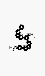 Nc1ccc(-c2ccc3ccc4ccc(-c5cc(N)cc(-c6ccc7ccc8ccc(-c9ccccc9)nc8c7n6)c5)nc4c3n2)cc1